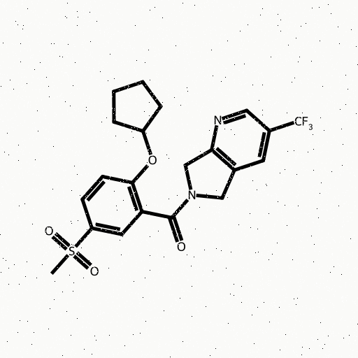 CS(=O)(=O)c1ccc(OC2CCCC2)c(C(=O)N2Cc3cc(C(F)(F)F)cnc3C2)c1